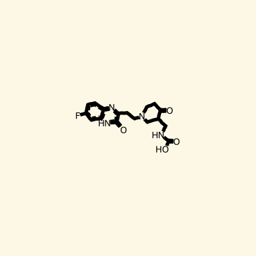 O=C(O)NCC1CN(CCc2nc3ccc(F)cc3[nH]c2=O)CCC1=O